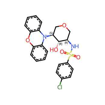 O=S(=O)(N[C@@H]1COC[C@H](N2c3ccccc3Oc3ccccc32)[C@H]1O)c1ccc(Cl)cc1